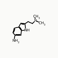 CN(C)CCc1cc2ccc(N)cc2[nH]1